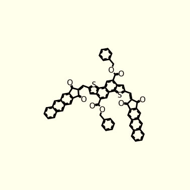 O=C1C(=Cc2cc3c(C(=O)OCc4ccccc4)cc4c(cc(C(=O)OCc5ccccc5)c5cc(C=C6C(=O)c7cc8cc9ccccc9cc8cc7C6=O)sc54)c3s2)C(=O)c2cc3cc4ccccc4cc3cc21